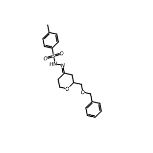 Cc1ccc(S(=O)(=O)NN=C2CCOC(COCc3ccccc3)C2)cc1